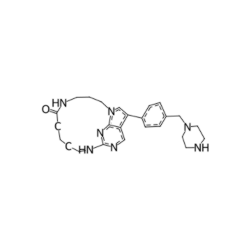 O=C1CCCCNc2ncc3c(-c4ccc(CN5CCNCC5)cc4)cn(c3n2)CCCN1